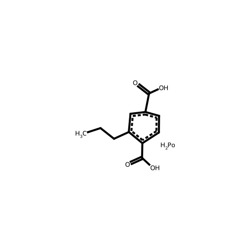 CCCc1cc(C(=O)O)ccc1C(=O)O.[PoH2]